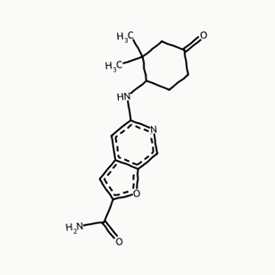 CC1(C)CC(=O)CCC1Nc1cc2cc(C(N)=O)oc2cn1